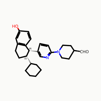 O=CC1CCN(c2ccc([C@H]3c4ccc(O)cc4CC[C@H]3C3CCCCC3)cn2)CC1